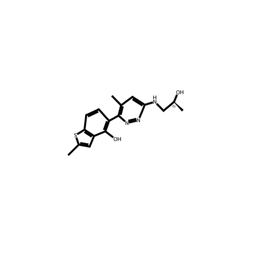 Cc1cc2c(O)c(-c3nnc(NC[C@H](C)O)cc3C)ccc2s1